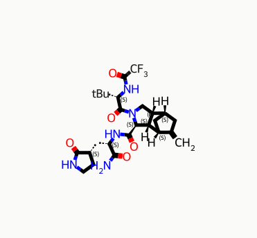 C=C1C[C@@H]2C[C@H]1[C@H]1[C@@H]2CN(C(=O)[C@@H](NC(=O)C(F)(F)F)C(C)(C)C)[C@@H]1C(=O)N[C@@H](C[C@@H]1CCNC1=O)C(N)=O